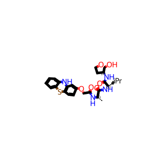 CC(C)C[C@H](NC(=O)[C@H](C)NC(=O)COc1ccc2c(c1)Nc1ccccc1S2)C(=O)N[C@H]1CCOC1O